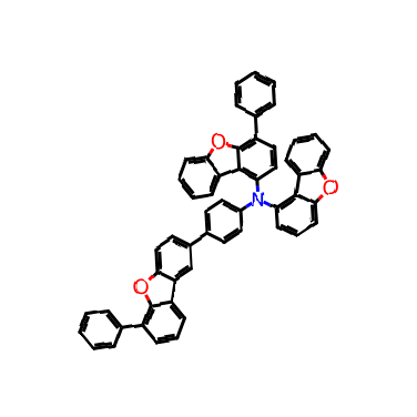 c1ccc(-c2cccc3c2oc2ccc(-c4ccc(N(c5cccc6oc7ccccc7c56)c5ccc(-c6ccccc6)c6oc7ccccc7c56)cc4)cc23)cc1